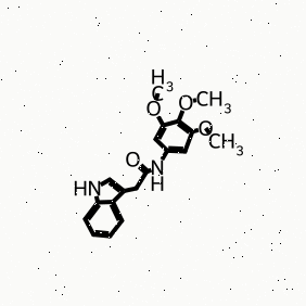 COc1cc(NC(=O)Cc2c[nH]c3ccccc23)cc(OC)c1OC